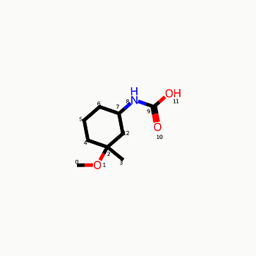 COC1(C)CCCC(NC(=O)O)C1